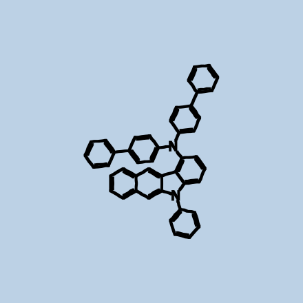 c1ccc(-c2ccc(N(c3ccc(-c4ccccc4)cc3)c3cccc4c3c3cc5ccccc5cc3n4-c3ccccc3)cc2)cc1